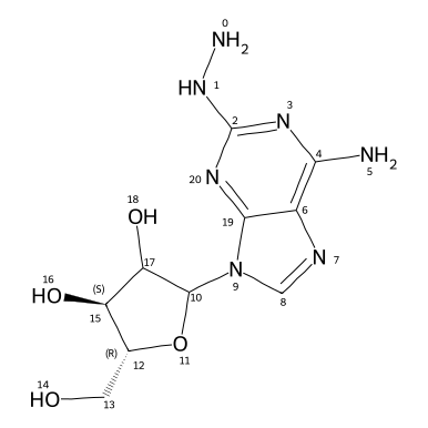 NNc1nc(N)c2ncn(C3O[C@H](CO)[C@@H](O)C3O)c2n1